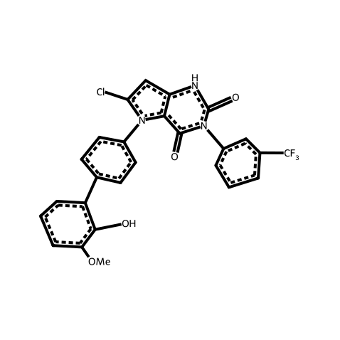 COc1cccc(-c2ccc(-n3c(Cl)cc4[nH]c(=O)n(-c5cccc(C(F)(F)F)c5)c(=O)c43)cc2)c1O